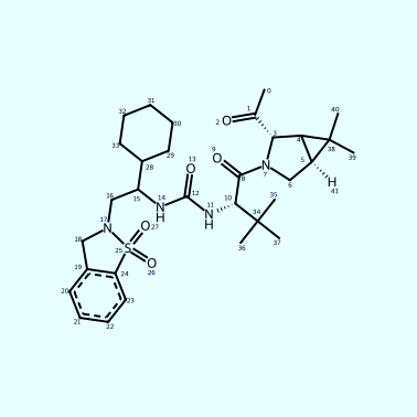 CC(=O)[C@@H]1C2[C@H](CN1C(=O)[C@@H](NC(=O)NC(CN1Cc3ccccc3S1(=O)=O)C1CCCCC1)C(C)(C)C)C2(C)C